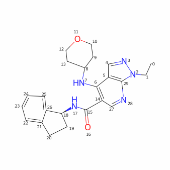 CCn1ncc2c(NC3CCOCC3)c(C(=O)N[C@H]3CCc4ccccc43)cnc21